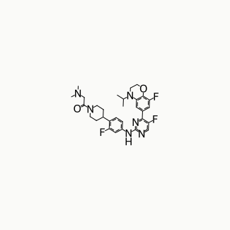 CC(C)N1CCOc2c(F)cc(-c3nc(Nc4ccc(C5CCN(C(=O)CN(C)C)CC5)c(F)c4)ncc3F)cc21